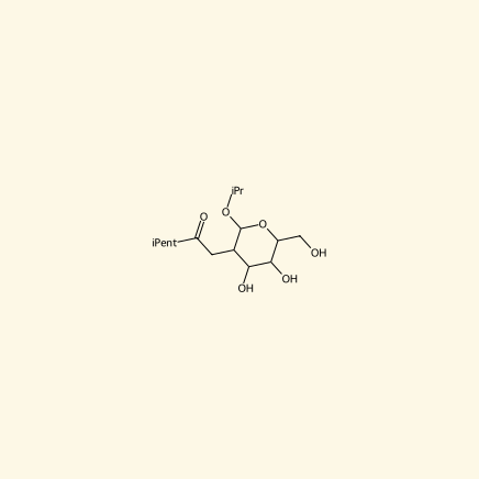 CCCC(C)C(=O)CC1C(OC(C)C)OC(CO)C(O)C1O